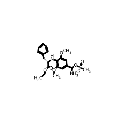 CCOC(=O)[C@H](Cc1ccccc1)Nc1c(OC)cc(C(N)OS(C)(=O)=O)cc1OC